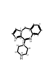 c1ccc2c(c1)Cn1ccnc1C(N1CCNCC1)=N2